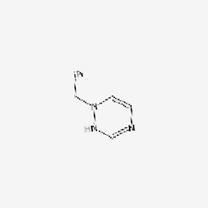 CC(C)CN1C=CN=CN1